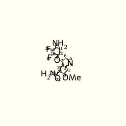 COc1cc2nccc(Oc3ccc(N)c(F)c3F)c2cc1C(N)=O